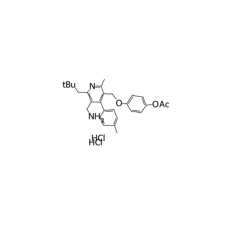 CC(=O)Oc1ccc(OCc2c(C)nc(CC(C)(C)C)c(CN)c2-c2ccc(C)cc2)cc1.Cl.Cl